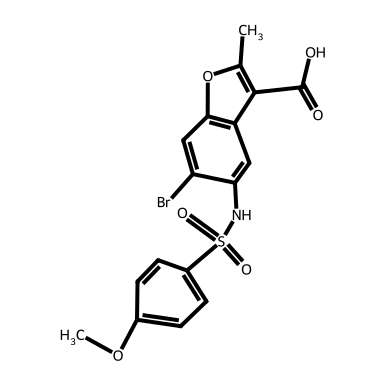 COc1ccc(S(=O)(=O)Nc2cc3c(C(=O)O)c(C)oc3cc2Br)cc1